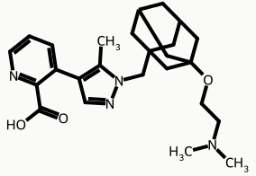 Cc1c(-c2cccnc2C(=O)O)cnn1CC12CC3CC(C1)CC(OCCN(C)C)(C3)C2